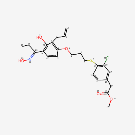 C=CCc1c(OCCCSc2ccc(CC(=O)OC)cc2Cl)ccc(C(CC)=NO)c1O